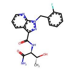 C[C@@H](O)[C@H](NC(=O)c1nn(Cc2ccccc2F)c2ncccc12)C(N)=O